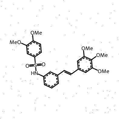 COc1ccc(S(=O)(=O)Nc2cccc(C=Cc3cc(OC)c(OC)c(OC)c3)c2)cc1OC